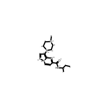 CCC(C)NC(=O)c1ccn2ncc(N3CCN(C)CC3)c2n1